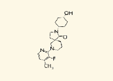 Cc1ccnc(N2CCC[C@]3(CCN([C@H]4CC[C@@H](O)CC4)C3=O)C2)c1F